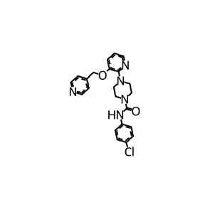 O=C(Nc1ccc(Cl)cc1)N1CCN(c2ncccc2OCc2ccncc2)CC1